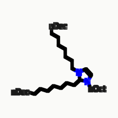 CCCCCCCCCCCCCCCCCC1N(CCCCCCCC)C=CN1CCCCCCCCCCCCCCCCC